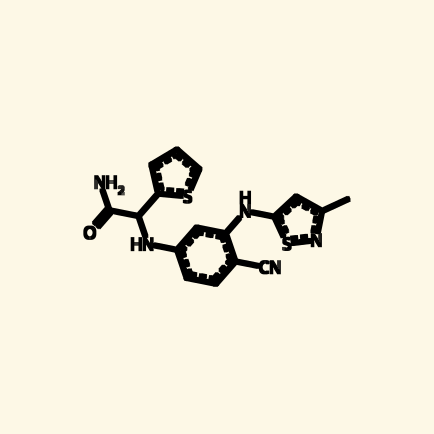 Cc1cc(Nc2cc(NC(C(N)=O)c3cccs3)ccc2C#N)sn1